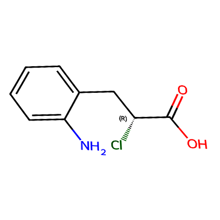 Nc1ccccc1C[C@@H](Cl)C(=O)O